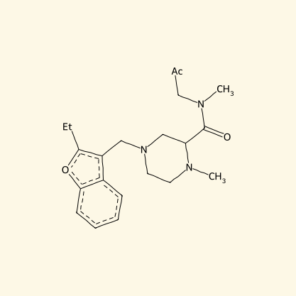 CCc1oc2ccccc2c1CN1CCN(C)C(C(=O)N(C)CC(C)=O)C1